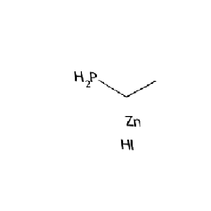 CCP.I.[Zn]